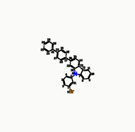 Brc1cccc(-n2c3ccccc3c3ccc(-c4ccc(-c5ccccc5)cc4)cc32)c1